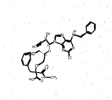 C#C[C@@H](O)[C@@H](O[C@@H](CO)COC(Cc1ccccc1)(C(=O)O)C(=O)NC)n1cnc2c(NCc3ccccc3)nc(Cl)nc21